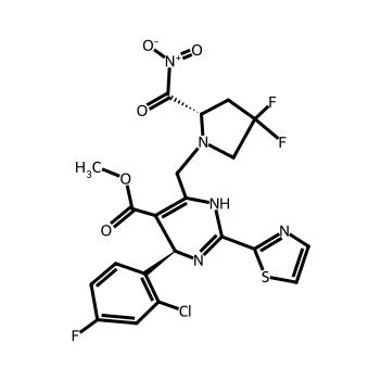 COC(=O)C1=C(CN2CC(F)(F)C[C@H]2C(=O)[N+](=O)[O-])NC(c2nccs2)=N[C@H]1c1ccc(F)cc1Cl